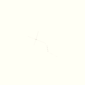 CCOC(C)(I)I